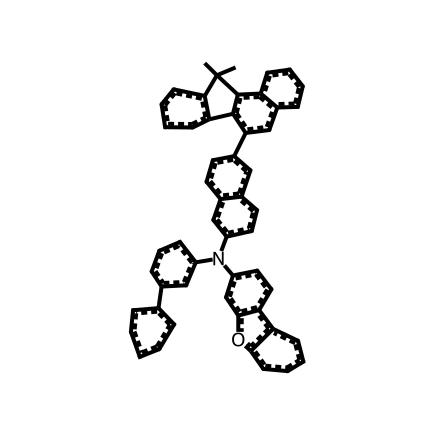 CC1(C)c2ccccc2-c2c(-c3ccc4cc(N(c5cccc(-c6ccccc6)c5)c5ccc6c(c5)oc5ccccc56)ccc4c3)cc3ccccc3c21